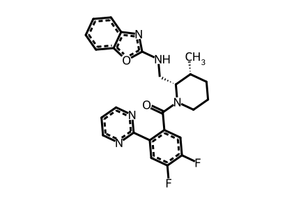 C[C@@H]1CCCN(C(=O)c2cc(F)c(F)cc2-c2ncccn2)[C@@H]1CNc1nc2ccccc2o1